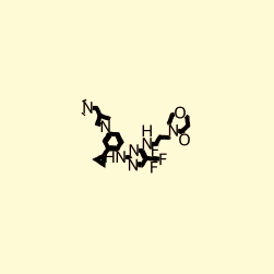 CN(C)CC1CN(c2ccc(Nc3ncc(C(F)(F)F)c(NCCCN4CCOCCC4=O)n3)c(C3CC3)c2)C1